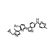 CC(=O)c1ccc(-n2cnc3cc(Nc4ccc(C)nn4)ccc32)nc1-c1cnn(CC2CC2)c1C